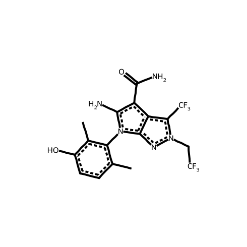 Cc1ccc(O)c(C)c1-n1c(N)c(C(N)=O)c2c(C(F)(F)F)n(CC(F)(F)F)nc21